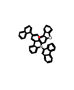 c1cc(-c2ccccc2N(c2ccc3c(c2)oc2ccccc23)c2cc3ccccc3c3ccccc23)cc(-c2cccc3ccccc23)c1